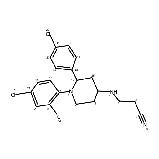 N#CCCNC1CCN(c2ccc(Cl)cc2Cl)C(c2ccc(Cl)cc2)C1